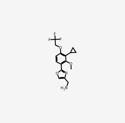 COc1c(-c2nc(CN)co2)ccc(OCC(F)(F)F)c1C1CC1